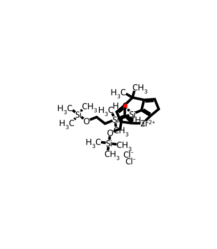 CC1(C)C2=CC[C](=C2[Si](C)(C)CCO[Si](C)(C)C)[Zr+2][C]2=C([Si](C)(C)CCO[Si](C)(C)C)C1=CC2.[Cl-].[Cl-]